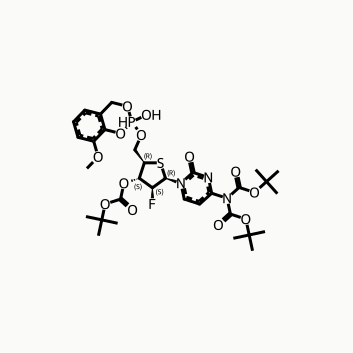 COc1cccc2c1O[PH](O)(OC[C@H]1S[C@@H](n3ccc(N(C(=O)OC(C)(C)C)C(=O)OC(C)(C)C)nc3=O)[C@@H](F)[C@@H]1OC(=O)OC(C)(C)C)OC2